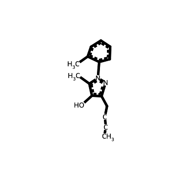 CCCCc1nn(-c2ccccc2C)c(C)c1O